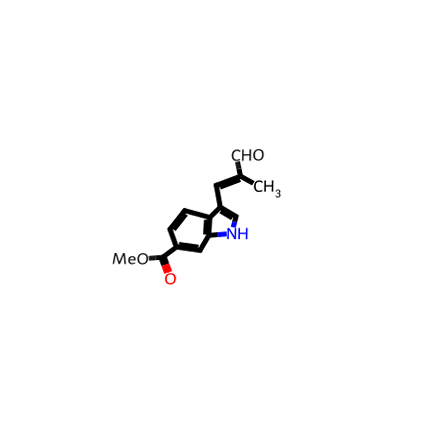 COC(=O)c1ccc2c(C=C(C)C=O)c[nH]c2c1